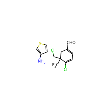 Nc1ccsc1.O=CC1=CC=C(Cl)C(CCl)(C(F)(F)F)C1